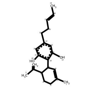 C=C(C)C1CCC(C)=CC1c1c(O)cc(CC/C=C/C)cc1O